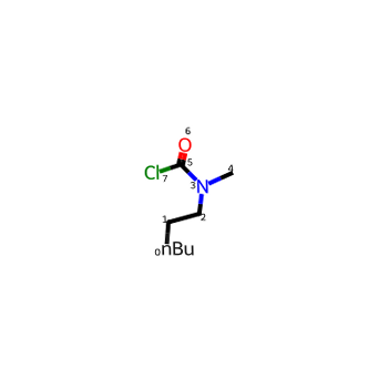 CCCCCCN(C)C(=O)Cl